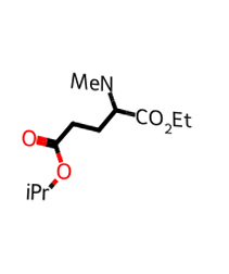 CCOC(=O)C(CCC(=O)OC(C)C)NC